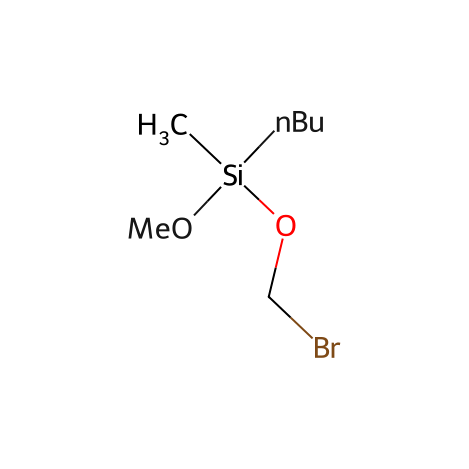 CCCC[Si](C)(OC)OCBr